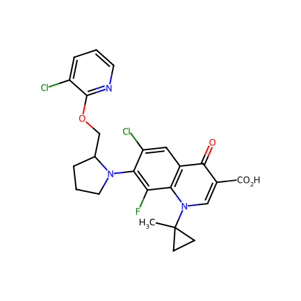 CC1(n2cc(C(=O)O)c(=O)c3cc(Cl)c(N4CCCC4COc4ncccc4Cl)c(F)c32)CC1